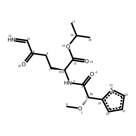 CO[C@H](C(=O)N[C@@H](CCC(=O)C=N)C(=O)OC(C)C)c1cccs1